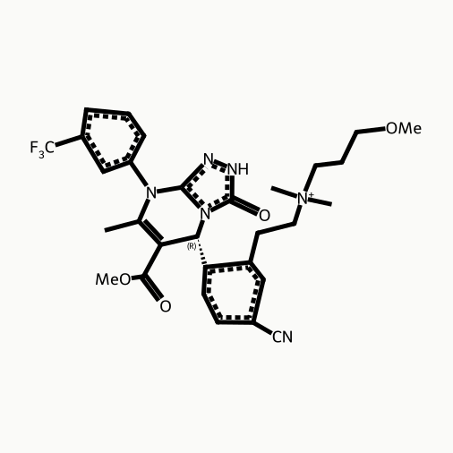 COCCC[N+](C)(C)CCc1cc(C#N)ccc1[C@@H]1C(C(=O)OC)=C(C)N(c2cccc(C(F)(F)F)c2)c2n[nH]c(=O)n21